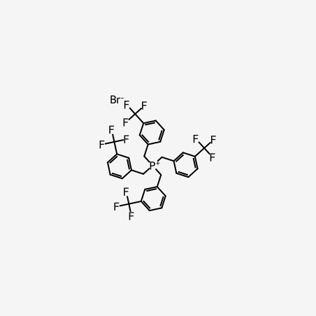 FC(F)(F)c1cccc(C[P+](Cc2cccc(C(F)(F)F)c2)(Cc2cccc(C(F)(F)F)c2)Cc2cccc(C(F)(F)F)c2)c1.[Br-]